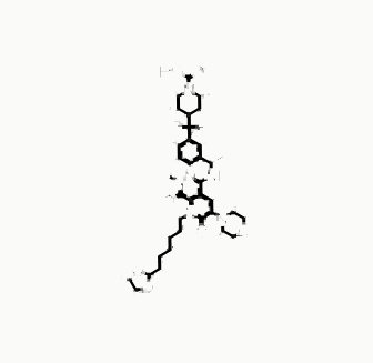 C[C@@H](Nc1nn(C)c(=O)c2c1cc(N1CCOCC1)c(=O)n2CCCCCCC1OCCO1)c1cccc(C(F)(F)C2CCN(C(=O)O)CC2)c1